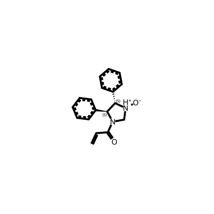 C=CC(=O)N1C[NH+]([O-])[C@@H](c2ccccc2)[C@@H]1c1ccccc1